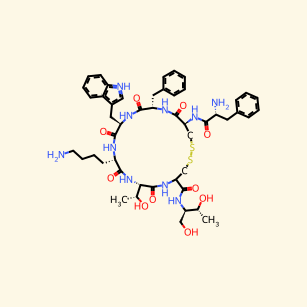 C[C@@H](O)[C@@H]1NC(=O)[C@H](CCCCN)NC(=O)[C@@H](Cc2c[nH]c3ccccc23)NC(=O)[C@H](Cc2ccccc2)NC(=O)[C@@H](NC(=O)[C@H](N)Cc2ccccc2)CSSCC(C(=O)N[C@H](CO)[C@@H](C)O)NC1=O